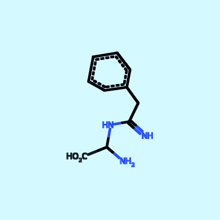 N=C(Cc1ccccc1)NC(N)C(=O)O